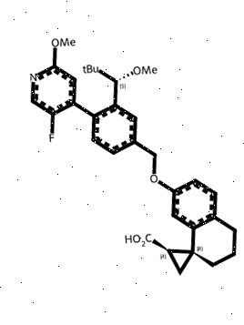 COc1cc(-c2ccc(COc3ccc4c(c3)[C@]3(CCC4)C[C@H]3C(=O)O)cc2[C@@H](OC)C(C)(C)C)c(F)cn1